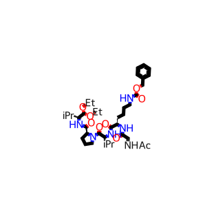 CCOC(OCC)[C@@H](NC(=O)[C@@H]1CCCN1C(=O)[C@@H](NC(=O)[C@H](CCCCNC(=O)OCc1ccccc1)NC(=O)CNC(C)=O)C(C)C)C(C)C